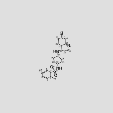 Cc1ccc(F)cc1S(=O)(=O)N[C@H]1CC[C@@H](Nc2ccnc3cc(Cl)ccc23)CC1